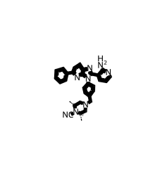 C[C@@H]1CN(Cc2ccc(-n3c(-c4cccnc4N)nc4ccc(-c5ccccc5)nc43)cc2)C[C@H](C)N1C#N